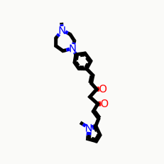 CN1CCCN(c2ccc(C=CC(=O)CC(=O)C=Cc3cccn3C)cc2)CC1